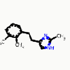 Cc1nc(CCc2cccc(C)c2C)c[nH]1